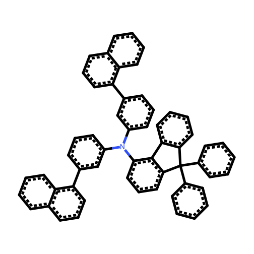 c1ccc(C2(c3ccccc3)c3ccccc3-c3c(N(c4cccc(-c5cccc6ccccc56)c4)c4cccc(-c5cccc6ccccc56)c4)cccc32)cc1